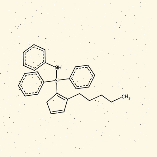 CCCCCC1=C([Si](Nc2ccccc2)(c2ccccc2)c2ccccc2)CC=C1